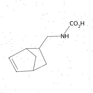 O=C(O)NCC1CC2C=CC1C2